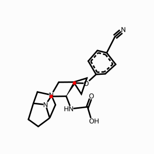 N#Cc1ccc(OC[C@H](CN2C3CCC2CN(CC2CC2)C3)NC(=O)O)cc1